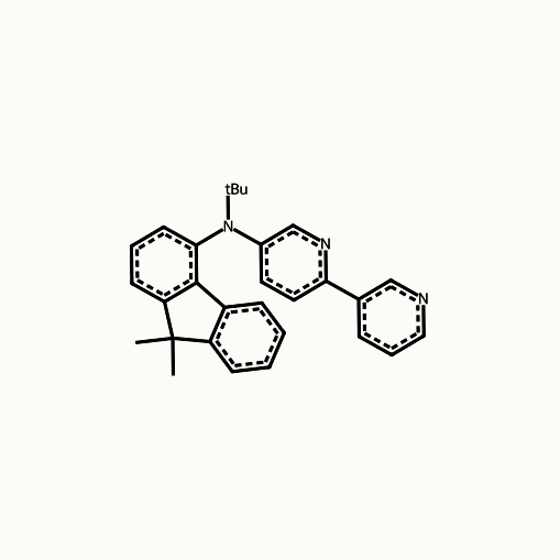 CC1(C)c2ccccc2-c2c(N(c3ccc(-c4cccnc4)nc3)C(C)(C)C)cccc21